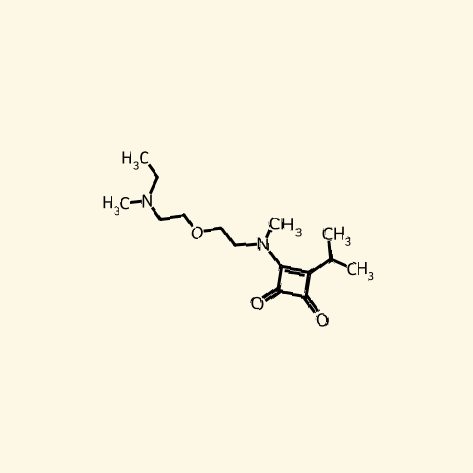 CCN(C)CCOCCN(C)c1c(C(C)C)c(=O)c1=O